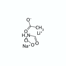 CC(=O)[O-].NC=O.[Li+].[Na+].[O-]Cl